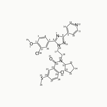 COc1ccc(-c2nc(-c3ccncc3)nn2CCN(C(=O)c2cc(SC)ccc2Cl)C2CCCC2)cc1Cl